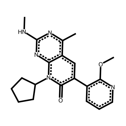 CNc1nc(C)c2cc(-c3cccnc3OC)c(=O)n(C3CCCC3)c2n1